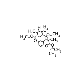 CCOC(=O)C1=C(C)NC(C)=C(C(=O)OCC)C1c1ccccc1C=C(C)C(=O)OC(C)CC